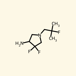 CC(C)(F)CN1CC(N)C(F)(F)C1